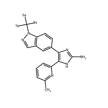 [2H]C([2H])([2H])n1ncc2cc(-c3nc(N)[nH]c3-c3cccc(C)n3)ccc21